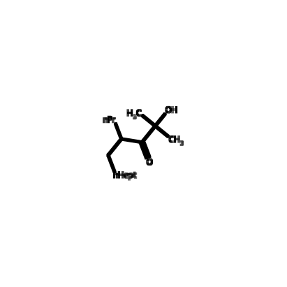 CCCCCCCCC(CCC)C(=O)C(C)(C)O